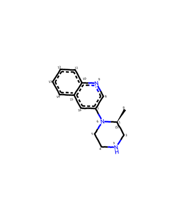 C[C@H]1CNCCN1c1cnc2ccccc2c1